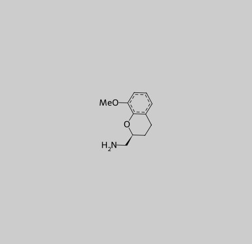 COc1cccc2c1O[C@H](CN)CC2